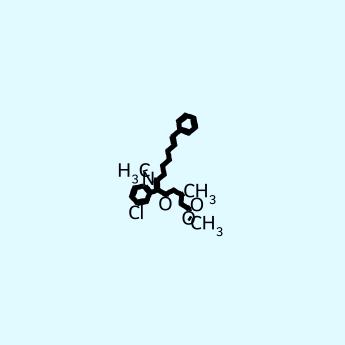 COC(=O)CC(C)CC(=O)c1c(CCCCC=Cc2ccccc2)n(C)c2ccc(Cl)cc12